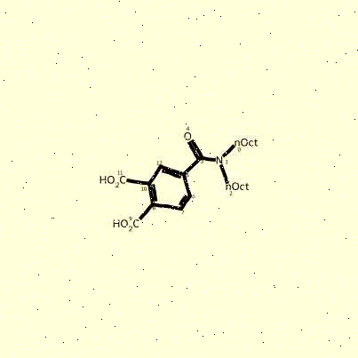 CCCCCCCCN(CCCCCCCC)C(=O)c1ccc(C(=O)O)c(C(=O)O)c1